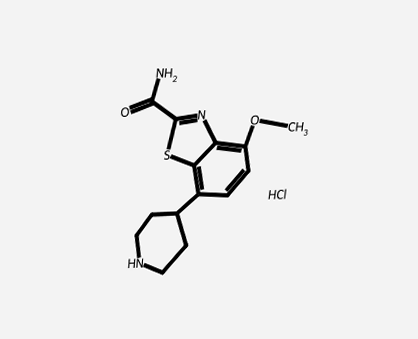 COc1ccc(C2CCNCC2)c2sc(C(N)=O)nc12.Cl